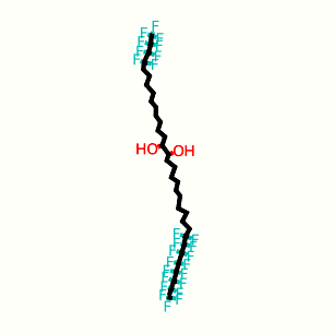 OC(CCCCCCCCCCC(F)(F)C(F)(F)C(F)(F)C(F)(F)F)C(O)CCCCCCCCCCC(F)(F)C(F)(F)C(F)(F)C(F)(F)C(F)(F)C(F)(F)C(F)(F)C(F)(F)F